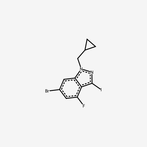 Fc1cc(Br)cc2c1c(I)nn2CC1CC1